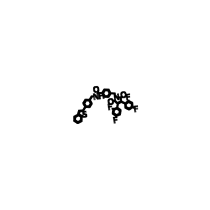 O=C(NCc1ccc(-c2cc3ccccc3s2)cc1)c1ccc(CN2C(=O)C(c3ccc(F)cc3F)=C(c3ccc(F)cc3F)C2=O)cc1